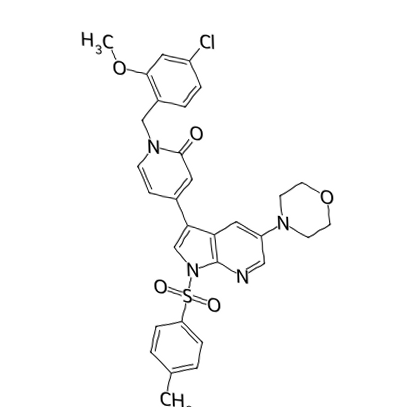 COc1cc(Cl)ccc1Cn1ccc(-c2cn(S(=O)(=O)c3ccc(C)cc3)c3ncc(N4CCOCC4)cc23)cc1=O